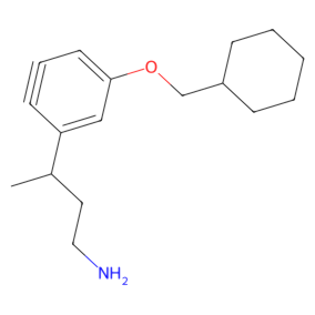 CC(CCN)c1c#ccc(OCC2CCCCC2)c1